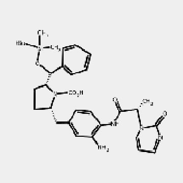 C[C@@H](C(=O)Nc1ccc(C[C@@H]2CC[C@H](C(O[Si](C)(C)C(C)(C)C)c3ccccc3)N2C(=O)O)cc1N)n1cccnc1=O